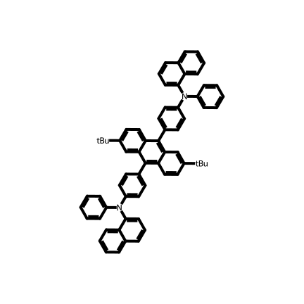 CC(C)(C)c1ccc2c(-c3ccc(N(c4ccccc4)c4cccc5ccccc45)cc3)c3cc(C(C)(C)C)ccc3c(-c3ccc(N(c4ccccc4)c4cccc5ccccc45)cc3)c2c1